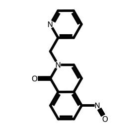 O=Nc1cccc2c(=O)n(Cc3ccccn3)ccc12